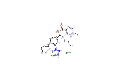 CCCCN(Cc1ccc(-c2ccccc2-c2nnn[nH]2)cc1)c1nc(C)ncc1C(=O)O.Cl